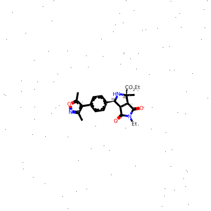 CCOC(=O)[C@]1(C)N[C@H](c2ccc(-c3c(C)noc3C)cc2)C2C(=O)N(CC)C(=O)C21